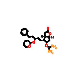 O=C1C[C@@H]2[C@@H](CC[C@H](CCc3ccccc3)OC3CCCCO3)[C@H](OB(P)P)C[C@@H]2O1